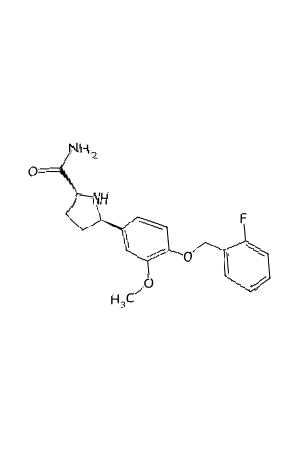 COc1cc([C@H]2CC[C@@H](C(N)=O)N2)ccc1OCc1ccccc1F